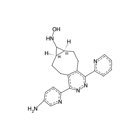 Nc1ccc(-c2nnc(-c3ccccn3)c3c2CC[C@H]2C(NO)[C@H]2CC3)nc1